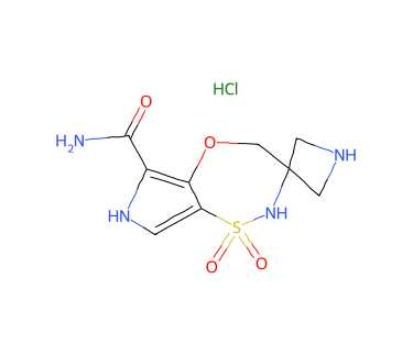 Cl.NC(=O)c1[nH]cc2c1OCC1(CNC1)NS2(=O)=O